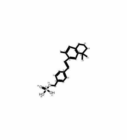 Cc1cc2c(cc1C=Cc1ccc(COP(=O)(O)O)cc1)C(C)(C)CCC2